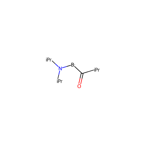 CC(C)C(=O)[B]N(C(C)C)C(C)C